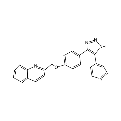 c1ccc2nc(COc3ccc(-c4nn[nH]c4-c4ccncc4)cc3)ccc2c1